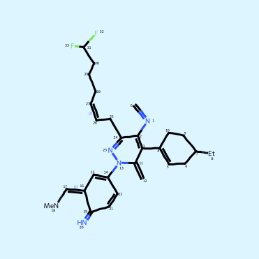 C=NC1=C(C2=CCC(CC)CC2)C(=C)N(C2=C/C(=C/NC)C(=N)C=C2)N=C1C/C=C\CCCC(F)F